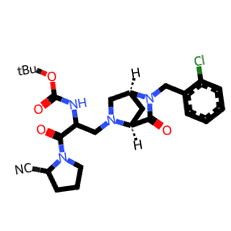 CC(C)(C)OC(=O)NC(CN1C[C@@H]2C[C@H]1C(=O)N2Cc1ccccc1Cl)C(=O)N1CCCC1C#N